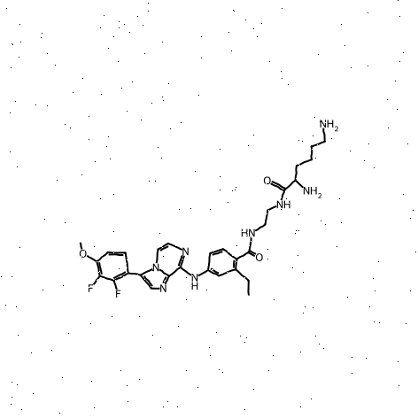 CCc1cc(Nc2nccn3c(-c4ccc(OC)c(F)c4F)cnc23)ccc1C(=O)NCCNC(=O)C(N)CCCCN